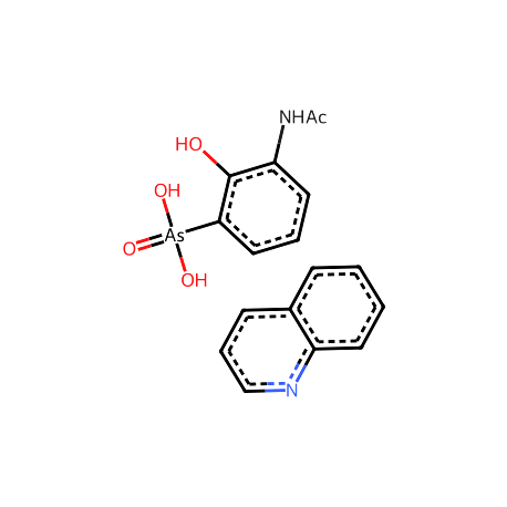 CC(=O)Nc1cccc([As](=O)(O)O)c1O.c1ccc2ncccc2c1